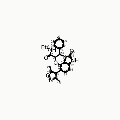 CCNC(=O)C1Oc2c(-c3c(C)noc3C)ccc3[nH]c(=O)n(c23)C1c1ccccc1